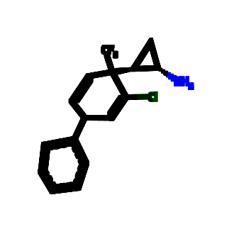 N[C@H]1C[C@@H]1C1(C(F)(F)F)C=CC(c2ccccc2)C=C1Cl